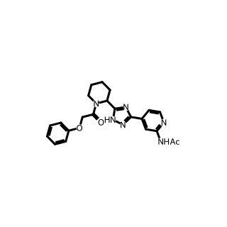 CC(=O)Nc1cc(-c2n[nH]c(C3CCCCN3C(=O)COc3ccccc3)n2)ccn1